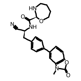 Cn1c(=O)oc2ccc(-c3ccc(C[C@@H](C#N)NC(=O)[C@H]4NCCCCO4)cc3)cc21